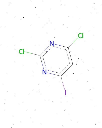 Clc1cc(I)nc(Cl)n1